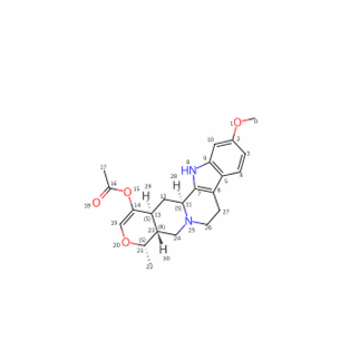 COc1ccc2c3c([nH]c2c1)[C@@H]1C[C@@H]2C(OC(C)=O)=CO[C@@H](C)[C@H]2CN1CC3